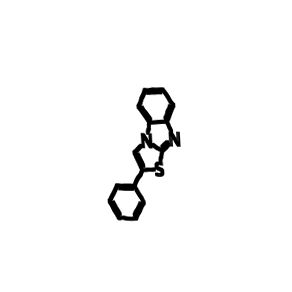 c1ccc(-c2cn3c(nc4ccccc43)s2)cc1